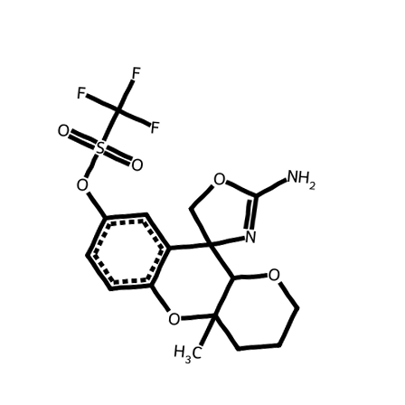 CC12CCCOC1C1(COC(N)=N1)c1cc(OS(=O)(=O)C(F)(F)F)ccc1O2